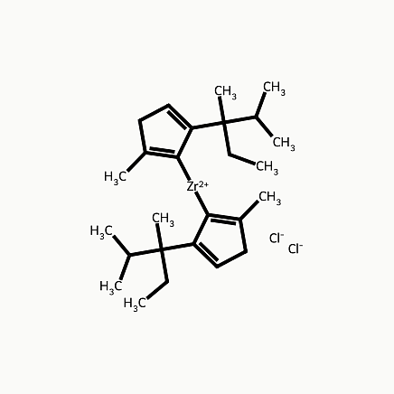 CCC(C)(C1=CCC(C)=[C]1[Zr+2][C]1=C(C)CC=C1C(C)(CC)C(C)C)C(C)C.[Cl-].[Cl-]